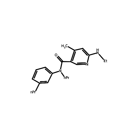 CCCc1cccc(N(CCC)C(=O)c2cnc(NCC)cc2C)c1